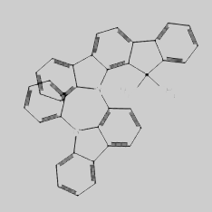 CC1(C)c2ccccc2-c2ccc3c4ccccc4n(-c4cccc5c6ccccc6n(-c6ccccc6)c45)c3c21